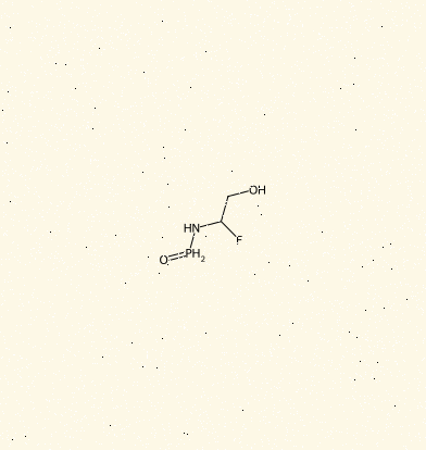 O=[PH2]NC(F)CO